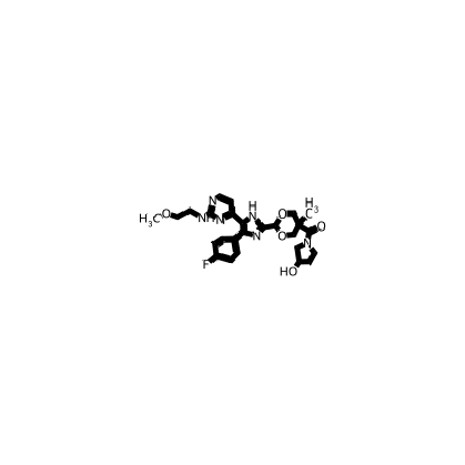 COCCNc1nccc(-c2[nH]c(C3OCC(C)(C(=O)N4CCC(O)C4)CO3)nc2-c2ccc(F)cc2)n1